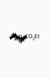 CCOC(=O)C1CCC(n2cc(NC(=O)c3coc(-c4ccnc(N(C)CC5CC5)c4)n3)c(C(F)F)n2)CC1